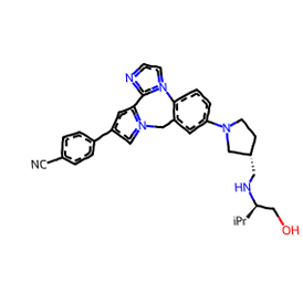 CC(C)[C@H](CO)NC[C@H]1CCN(c2ccc3c(c2)Cn2cc(-c4ccc(C#N)cc4)cc2-c2nccn2-3)C1